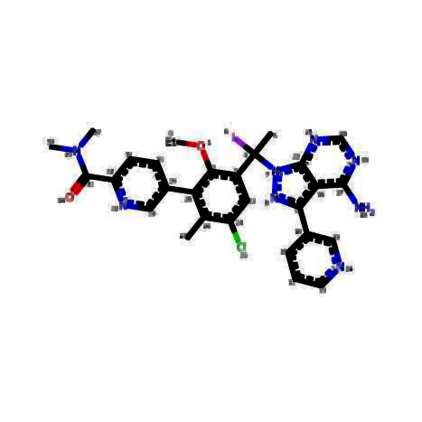 CCOc1c(C(C)(I)n2nc(-c3cccnc3)c3c(N)ncnc32)cc(Cl)c(C)c1-c1ccc(C(=O)N(C)C)nc1